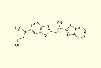 CN(CCO)c1ccc2nc(/C=C(\C#N)c3nc4ccccc4s3)sc2c1